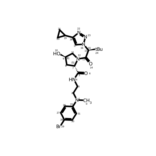 CN(CCNC(=O)[C@@H]1C[C@@H](O)CN1C(=O)[C@@H](n1cc(C2CC2)nn1)C(C)(C)C)c1ccc(Br)cc1